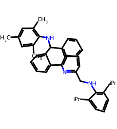 Cc1cc(C)c(NC(c2ccccc2)c2ccccc2-c2cccc(CNc3c(C(C)C)cccc3C(C)C)n2)c(C)c1